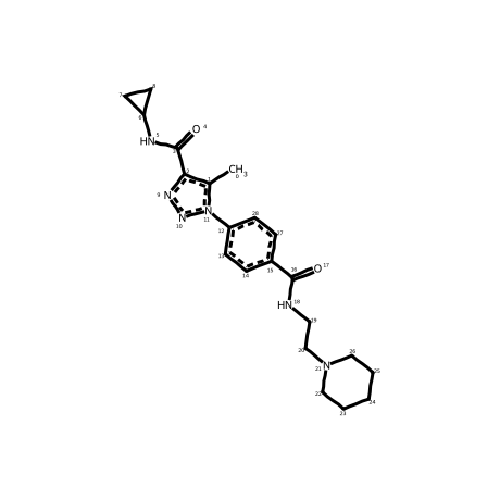 Cc1c(C(=O)NC2CC2)nnn1-c1ccc(C(=O)NCCN2CCCCC2)cc1